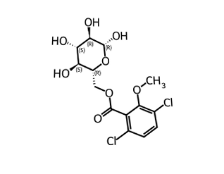 COc1c(Cl)ccc(Cl)c1C(=O)OC[C@H]1O[C@@H](O)[C@H](O)[C@@H](O)[C@@H]1O